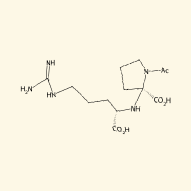 CC(=O)N1CCC[C@@]1(N[C@@H](CCCNC(=N)N)C(=O)O)C(=O)O